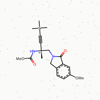 COC(=O)N[C@](C)(C#C[Si](C)(C)C)CN1Cc2ccc(OC)cc2C1=O